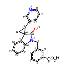 O=C(O)c1cccc(CN2C(=O)C3(CC3c3cccnc3)c3ccccc32)c1